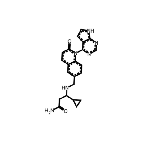 NC(=O)CC(NCc1ccc2c(ccc(=O)n2-c2ncnc3[nH]ccc23)c1)C1CC1